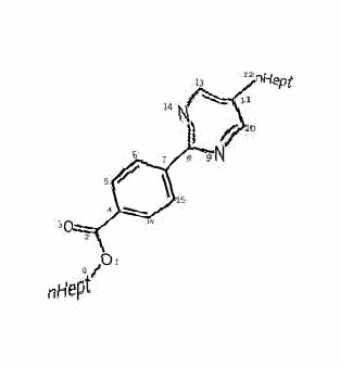 CCCCCCCOC(=O)c1ccc(-c2ncc(CCCCCCC)cn2)cc1